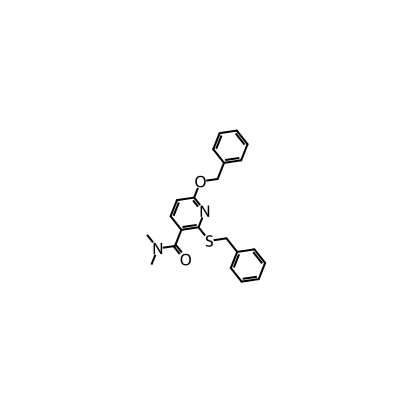 CN(C)C(=O)c1ccc(OCc2ccccc2)nc1SCc1ccccc1